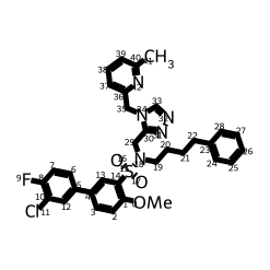 COc1ccc(-c2ccc(F)c(Cl)c2)cc1S(=O)(=O)N(CCCCc1ccccc1)Cc1nncn1Cc1cccc(C)n1